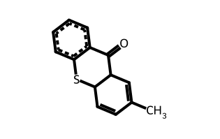 CC1=CC2C(=O)c3ccccc3SC2C=C1